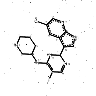 FC1=C(NC2CCCNC2)NC(c2c[nH]c3ncc(Cl)cc23)N=C1